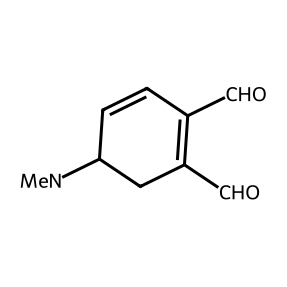 CNC1C=CC(C=O)=C(C=O)C1